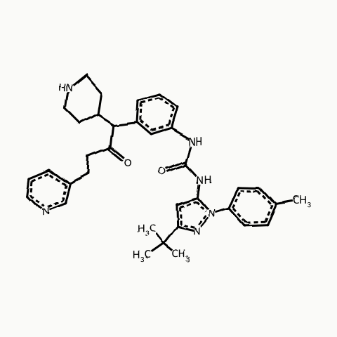 Cc1ccc(-n2nc(C(C)(C)C)cc2NC(=O)Nc2cccc(C(C(=O)CCc3cccnc3)C3CCNCC3)c2)cc1